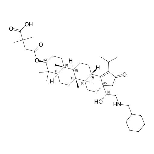 CC(C)C1=C2[C@H]3CC[C@@H]4[C@@]5(C)CC[C@H](OC(=O)CC(C)(C)C(=O)O)C(C)(C)[C@@H]5CC[C@@]4(C)[C@]3(C)CC[C@@]2([C@@H](O)CNCC2CCCCC2)CC1=O